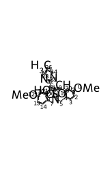 COc1ccc(CN(Cc2ccc(OC)cc2)S(=O)(=O)[C@H](C)[C@@H](O)c2ncc(C)cn2)cc1